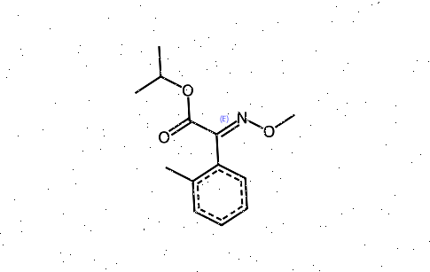 CO/N=C(/C(=O)OC(C)C)c1ccccc1C